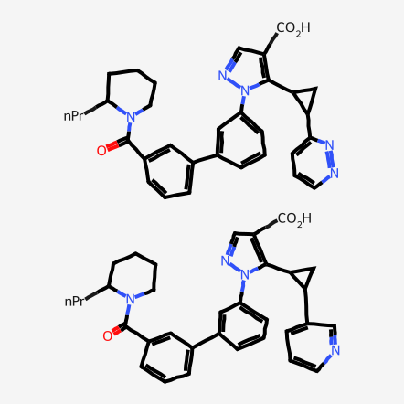 CCCC1CCCCN1C(=O)c1cccc(-c2cccc(-n3ncc(C(=O)O)c3C3CC3c3cccnc3)c2)c1.CCCC1CCCCN1C(=O)c1cccc(-c2cccc(-n3ncc(C(=O)O)c3C3CC3c3cccnn3)c2)c1